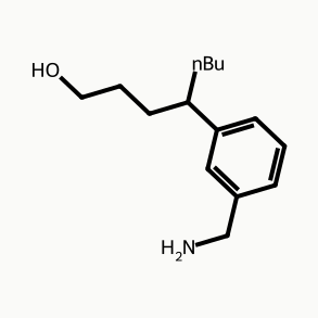 CCCCC(CCCO)c1cccc(CN)c1